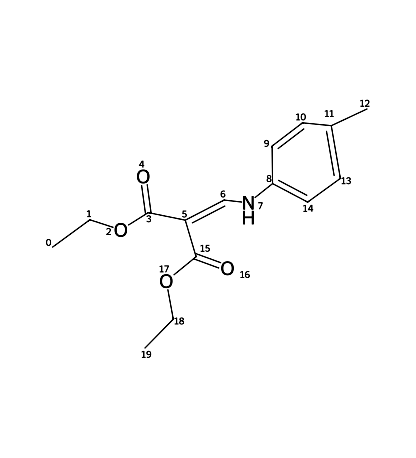 CCOC(=O)C(=CNc1ccc(C)cc1)C(=O)OCC